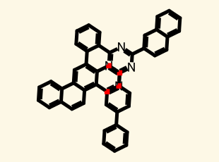 c1ccc(-c2ccc(-c3nc(-c4ccc5ccccc5c4)nc(-c4ccccc4-c4cc5c6ccccc6ccc5c5cnccc45)n3)cc2)cc1